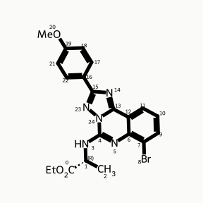 CCOC(=O)[C@@H](C)Nc1nc2c(Br)cccc2c2nc(-c3ccc(OC)cc3)nn12